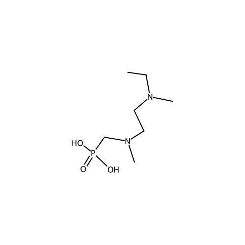 CCN(C)CCN(C)CP(=O)(O)O